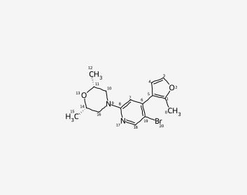 Cc1occc1-c1cc(N2C[C@@H](C)O[C@@H](C)C2)ncc1Br